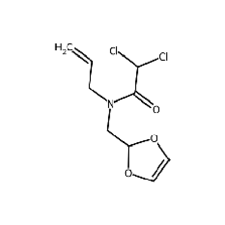 C=CCN(CC1OC=CO1)C(=O)C(Cl)Cl